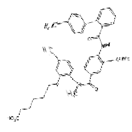 COc1cc(C(=O)N(C)c2ccc(C)cc2OCCCCCC(=O)O)ccc1NC(=O)c1ccccc1-c1ccc(C)cc1